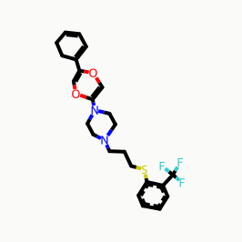 FC(F)(F)c1ccccc1SCCCN1CCN(C2=COC(C3=CC=CCC3)=CO2)CC1